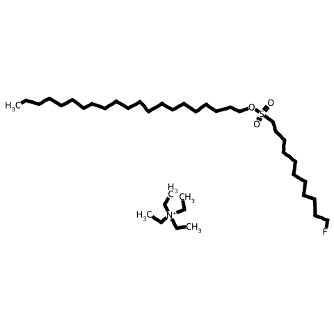 CCCCCCCCCCCCCCCCCCCCCOS(=O)(=O)CCCCCCCCCCCF.CC[N+](CC)(CC)CC